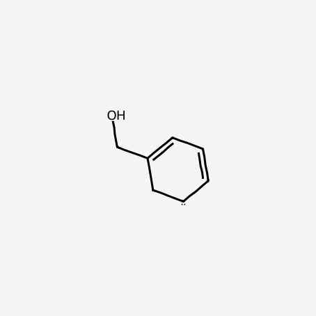 OCC1=CC=C[C]C1